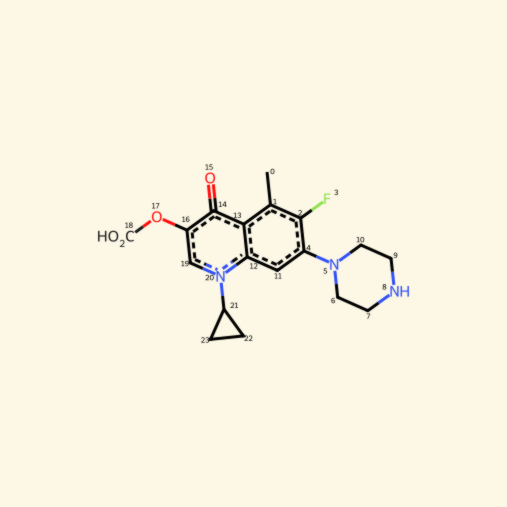 Cc1c(F)c(N2CCNCC2)cc2c1c(=O)c(OC(=O)O)cn2C1CC1